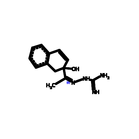 C/C(=N/NC(=N)N)C1(O)C=Cc2ccccc2C1